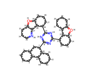 c1ccc2c(c1)cc(-c1nc(-c3cccc4oc5ccccc5c34)nc(-c3cccc4oc5cccnc5c34)n1)c1ccccc12